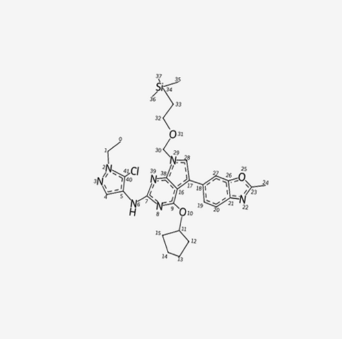 CCn1ncc(Nc2nc(OC3CCCC3)c3c(-c4ccc5nc(C)oc5c4)cn(COCC[Si](C)(C)C)c3n2)c1Cl